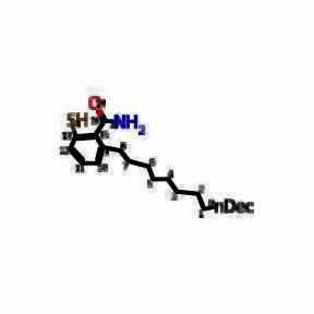 CCCCCCCCCCCCCCCCCCc1cccc(S)c1C(N)=O